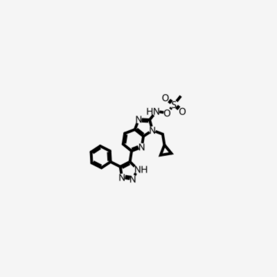 CS(=O)(=O)ONc1nc2ccc(-c3[nH]nnc3-c3ccccc3)nc2n1CC1CC1